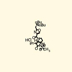 CCCCN(CCCC)Cc1nc(C(=O)N2CC[C@@H]3[C@@H]2[C@H](C(C)C)C(=O)N3S(C)(=O)=O)co1.Cl